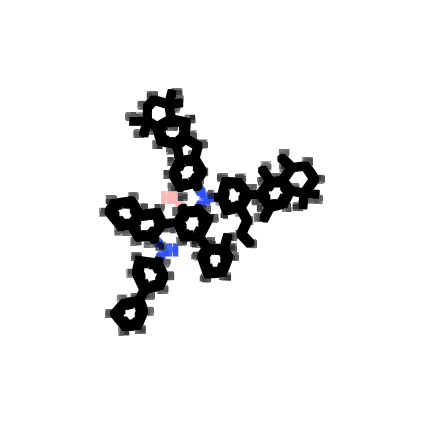 CCCc1cc(N2c3cc4c(cc3Bc3c(-c5cc6ccccc6cc5Nc5ccc(-c6ccccc6)cc5)cc(-c5ccccc5C)cc32)-c2cc3c(cc2C4)C(C)(C)CCC3(C)C)ccc1-c1c(C)cc2c(c1C)C(C)CCC2(C)C